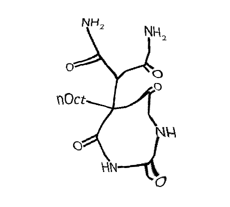 CCCCCCCCC1(C(C(N)=O)C(N)=O)C(=O)NC(=O)NC1=O